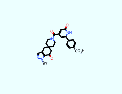 CC(C)n1ncc2c1C(=O)CC1(CCN(C(=O)c3cc(-c4ccc(C(=O)O)cc4)[nH]c(=O)c3)CC1)C2